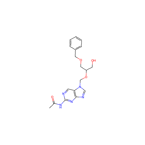 CC(=O)Nc1ncc2c(ncn2COC(CO)COCc2ccccc2)n1